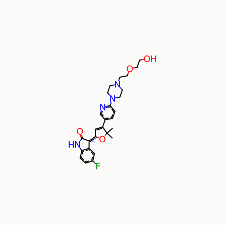 CC1(C)O/C(=C2/C(=O)Nc3ccc(F)cc32)C=C1c1ccc(N2CCN(CCOCCO)CC2)nc1